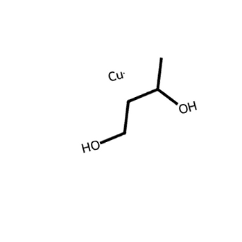 CC(O)CCO.[Cu]